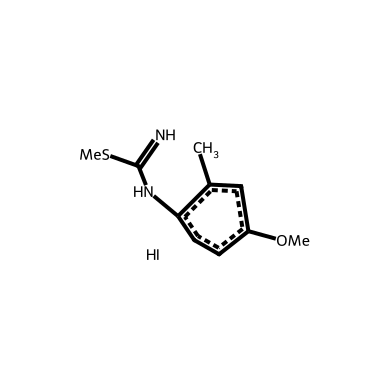 COc1ccc(NC(=N)SC)c(C)c1.I